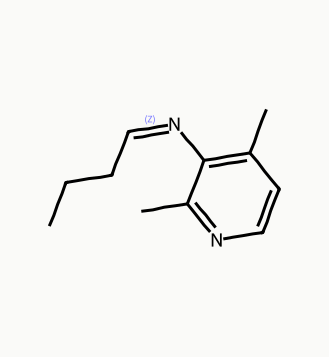 CCC/C=N\c1c(C)ccnc1C